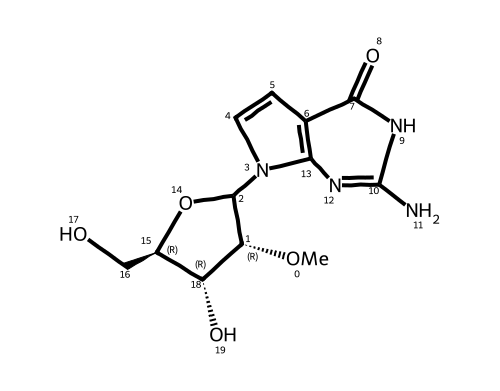 CO[C@H]1C(n2ccc3c(=O)[nH]c(N)nc32)O[C@H](CO)[C@H]1O